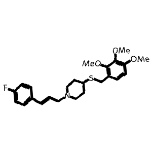 COc1ccc(CSC2CCN(CC=Cc3ccc(F)cc3)CC2)c(OC)c1OC